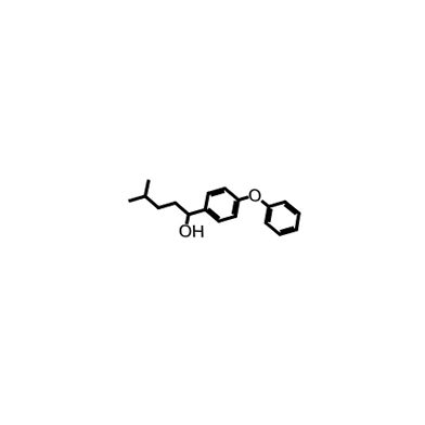 CC(C)CCC(O)c1ccc(Oc2ccccc2)cc1